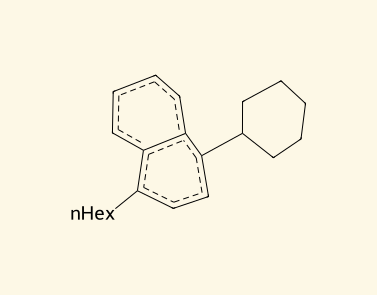 [CH2]CCCCCc1ccc(C2CCCCC2)c2ccccc12